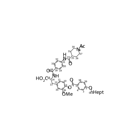 CCCCCCCOc1ccc(C(=O)Oc2ccc(CC(NC(=O)c3ccc(NC(=O)C4CCN(C(C)=O)CC4)cc3)C(=O)O)cc2OC)cc1